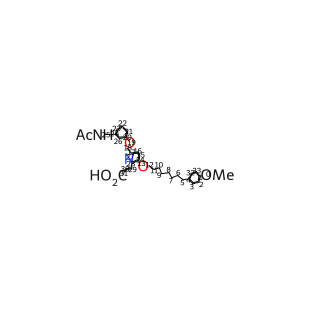 COc1ccc(CCCCCCCCOc2ccc(COc3cccc(NC(C)=O)c3)nc2C=CC(=O)O)cc1